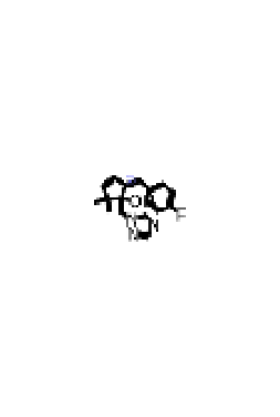 CC1(C)C=C/C(=C/c2ccc(F)cc2)C1(O)Cn1cncn1